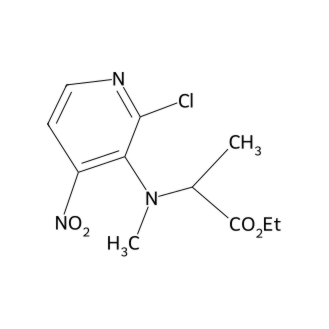 CCOC(=O)C(C)N(C)c1c([N+](=O)[O-])ccnc1Cl